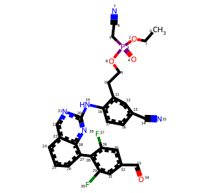 CCOP(=O)(CC#N)OCCc1cc(C#N)ccc1Nc1ncc2cccc(-c3c(F)cc(C=O)cc3F)c2n1